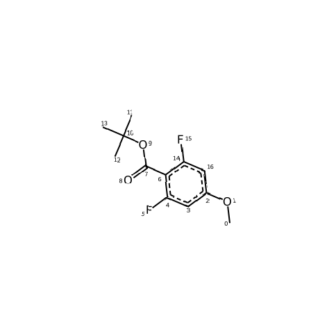 COc1cc(F)c(C(=O)OC(C)(C)C)c(F)c1